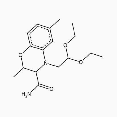 CCOC(CN1c2cc(C)ccc2OC(C)C1C(N)=O)OCC